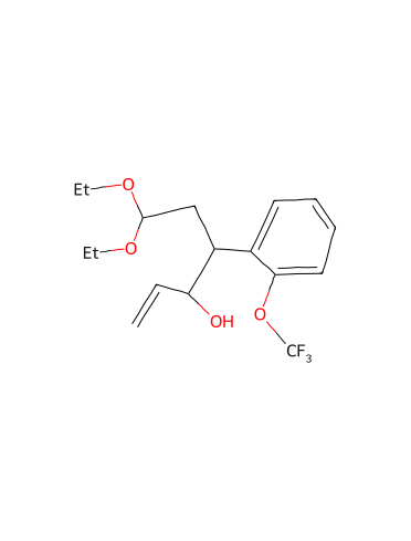 C=CC(O)C(CC(OCC)OCC)c1ccccc1OC(F)(F)F